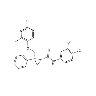 Cc1ncc(OC[C@@]2(c3ccccc3)C[C@H]2C(=O)Nc2cnc(Cl)c(Br)c2)c(C)n1